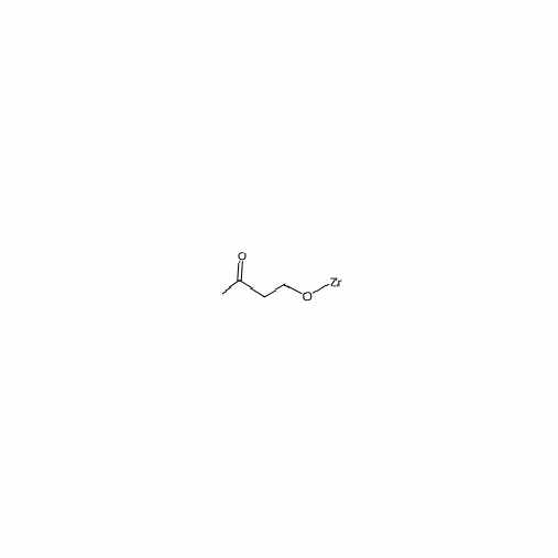 CC(=O)CC[O][Zr]